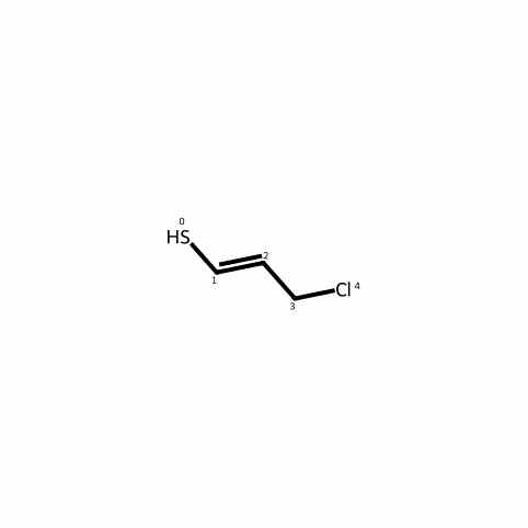 SC=CCCl